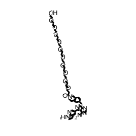 Nc1ncnc2c1c(-c1cnc3[nH]ccc3c1)nn2Cc1ccc2c(c1)CCN(C(=O)CCOCCOCCOCCOCCOCCOCCOCCOCCOCCOCCO)C2